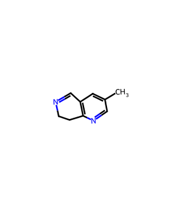 Cc1cnc2c(c1)C=NCC2